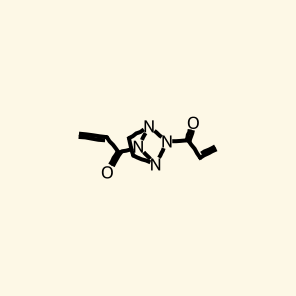 C=CC(=O)N1N2CCN1N2C(=O)C=C